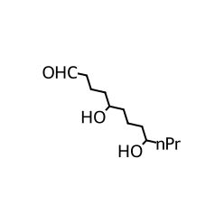 CCCC(O)CCCC(O)CCCC=O